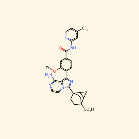 CCOc1cc(C(=O)Nc2cc(C(F)(F)F)ccn2)ccc1-c1nc(C23CCC(C(=O)O)(CC2)C2CC23)n2ccnc(N)c12